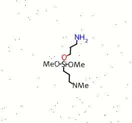 CNCCC[Si](OC)(OC)OCCCN